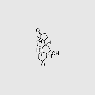 C[C@]12CCC(=O)C[C@@H]1[C@@H](O)C[C@@H]1[C@@H]2CC[C@]2(C)C(=O)CC[C@@H]12